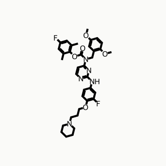 COc1ccc(OC)c(CN(C(=O)Oc2c(C)cc(F)cc2C)c2ccnc(Nc3ccc(OCCCN4CCCCC4)c(F)c3)n2)c1